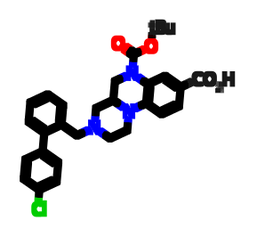 CC(C)(C)OC(=O)N1CC2CN(Cc3ccccc3-c3ccc(Cl)cc3)CCN2c2ccc(C(=O)O)cc21